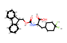 O=C(NC(CC1CCC(F)(F)CC1)C(=O)O)OCC1c2ccccc2-c2ccccc21